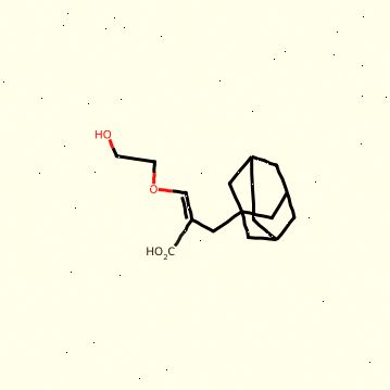 O=C(O)C(=COCCO)CC12CC3CC(CC(C3)C1)C2